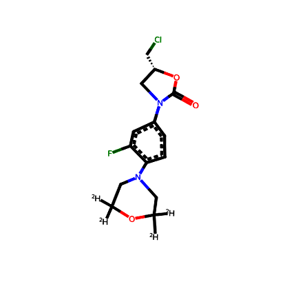 [2H]C1([2H])CN(c2ccc(N3C[C@H](CCl)OC3=O)cc2F)CC([2H])([2H])O1